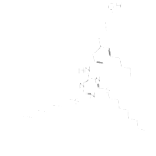 CCCCCCCCSc1nc(Nc2cc(CCCC)cc(CCCCO)c2)nc(SCCCCCCCC)n1